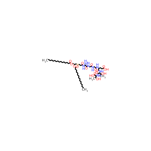 CCCCCCCCCCCCCCCC(=O)OC[C@@H](CSCCC(=O)N[C@@H](N)C(=O)NCC(=O)NCC(=O)NC(CCC(=O)O)C(=O)N[C@H](C(=O)N[C@H](C(=O)O)[C@@H](C)O)[C@@H](C)O)OC(=O)CCCCCCCCCCCCCCC